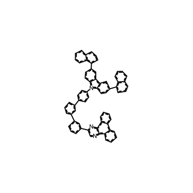 c1cc(-c2ccc(-n3c4ccc(-c5cccc6ccccc56)cc4c4cc(-c5cccc6ccccc56)ccc43)cc2)cc(-c2cccc(-c3cnc4c5ccccc5c5ccccc5c4n3)c2)c1